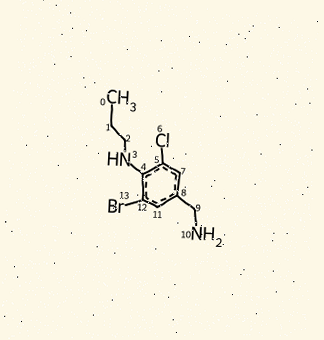 CCCNc1c(Cl)cc(CN)cc1Br